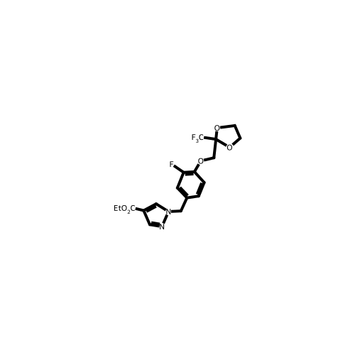 CCOC(=O)c1cnn(Cc2ccc(OCC3(C(F)(F)F)OCCO3)c(F)c2)c1